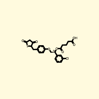 O=C(O)CCCC(=O)O[C@H](COc1ccc(CC2SC(=O)CC2=O)cc1)c1cccc(Cl)c1